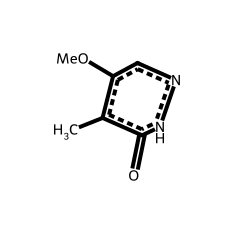 COc1cn[nH]c(=O)c1C